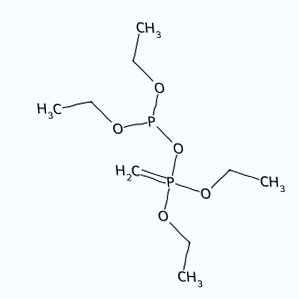 C=P(OCC)(OCC)OP(OCC)OCC